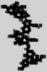 CCCCC1(CCCC)CN(c2cccc(CC(CCC(=O)O)[C@H]3CC[C@H]4[C@@H]5[C@H](O)[C@H](CC)[C@@H]6C[C@H](O)CC[C@]6(C)[C@H]5CC[C@]34C)c2)c2cc(SC)c(OCC(=O)N[C@@H](C(=O)N[C@](C=O)(CC)CO)c3ccc(O)cc3)cc2S(=O)(=O)N1